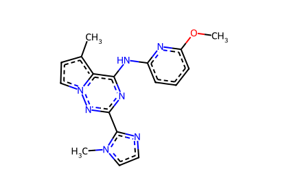 COc1cccc(Nc2nc(-c3nccn3C)nn3ccc(C)c23)n1